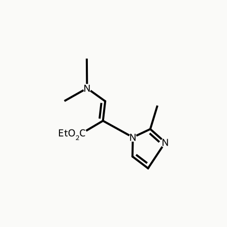 CCOC(=O)C(=CN(C)C)n1ccnc1C